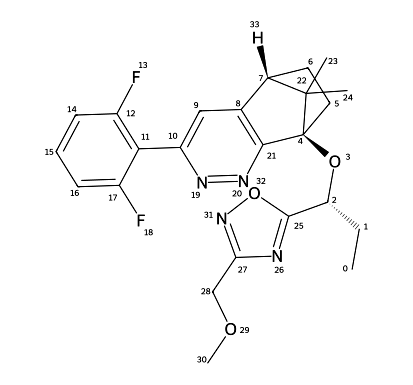 CC[C@@H](O[C@@]12CC[C@@H](c3cc(-c4c(F)cccc4F)nnc31)C2(C)C)c1nc(COC)no1